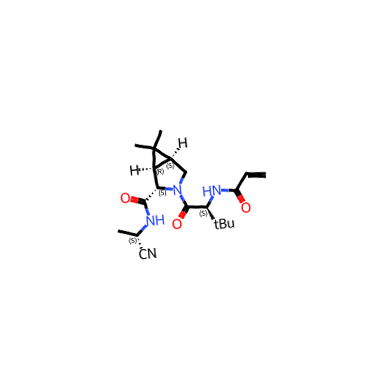 C=CC(=O)N[C@H](C(=O)N1C[C@H]2[C@@H]([C@H]1C(=O)N[C@@H](C)C#N)C2(C)C)C(C)(C)C